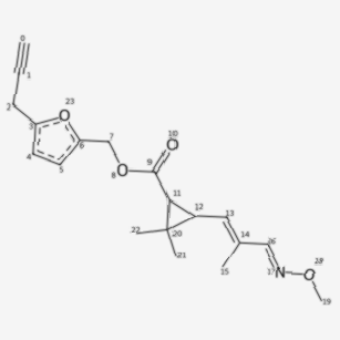 C#CCc1ccc(COC(=O)C2C(/C=C(C)/C=N/OC)C2(C)C)o1